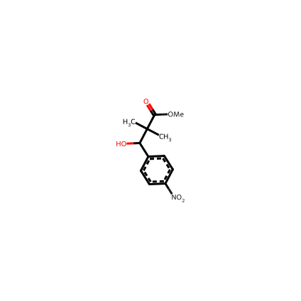 COC(=O)C(C)(C)C(O)c1ccc([N+](=O)[O-])cc1